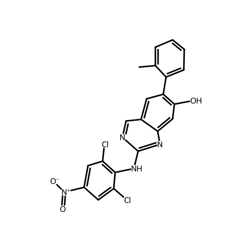 Cc1ccccc1-c1cc2cnc(Nc3c(Cl)cc([N+](=O)[O-])cc3Cl)nc2cc1O